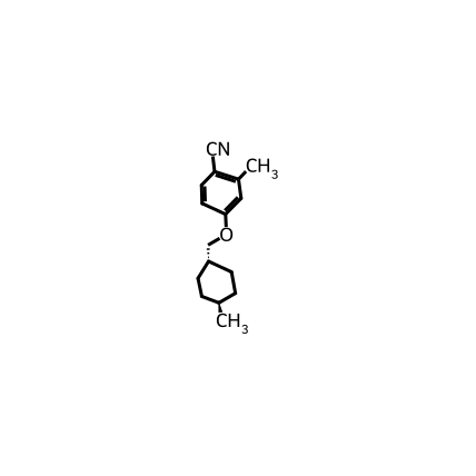 Cc1cc(OC[C@H]2CC[C@H](C)CC2)ccc1C#N